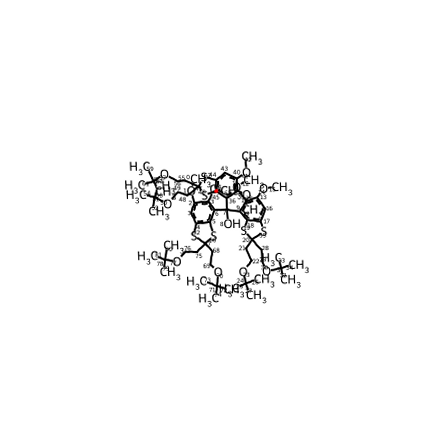 COc1cc2c(c(C(O)(c3c(OC)c(OC)cc4c3SC(CCOC(C)(C)C)(CCOC(C)(C)C)S4)c3c(OC)c(OC)cc4c3SC(CCOC(C)(C)C)(CCOC(C)(C)C)S4)c1OC)SC(CCOC(C)(C)C)(CCOC(C)(C)C)S2